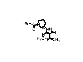 C=Nc1c(C(=C)Cl)c(I)nn1[C@@H]1CCCN(C(=O)OC(C)(C)C)C1